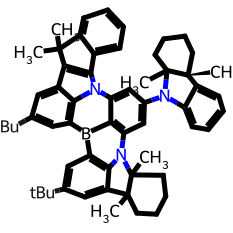 CC(C)(C)c1cc2c3c(c1)C1(C)CCCCC1(C)N3c1cc(N3c4ccccc4[C@@]4(C)CCCCC34C)cc3c1B2c1cc(C(C)(C)C)cc2c4c(n-3c12)-c1ccccc1C4(C)C